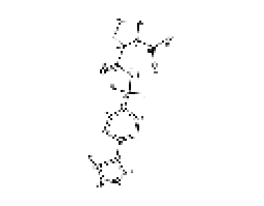 Cc1ncsc1-c1ccc(C(C)(C)NC(=O)C2CCCN2C(=O)C(C)C)cc1